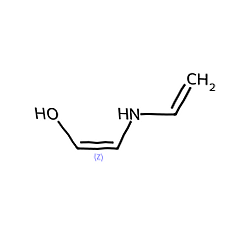 C=CN/C=C\O